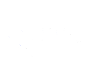 CC(F)(F)CNC(=O)N1Cc2nc(N)nc(I)c2C1